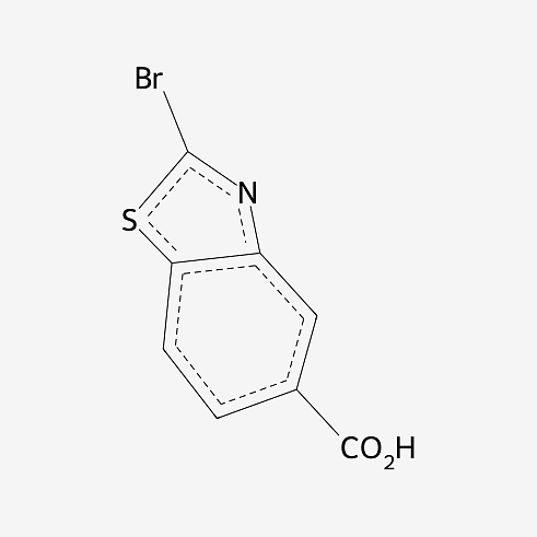 O=C(O)c1ccc2sc(Br)nc2c1